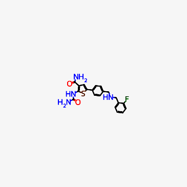 NC(=O)Nc1sc(-c2ccc(CNCc3ccccc3F)cc2)cc1C(N)=O